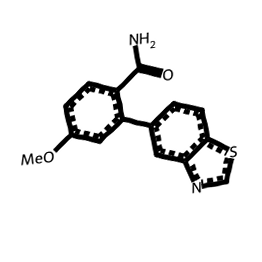 COc1ccc(C(N)=O)c(-c2ccc3scnc3c2)c1